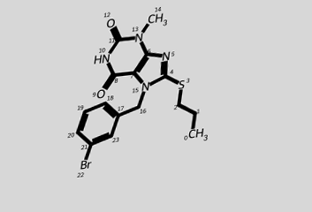 CCCSc1nc2c(c(=O)[nH]c(=O)n2C)n1Cc1cccc(Br)c1